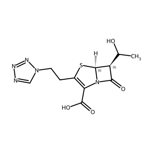 CC(O)[C@H]1C(=O)N2C(C(=O)O)=C(CCn3cnnn3)S[C@@H]12